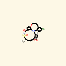 C[C@H]1CC#C[C@H](O)[C@@H]2CC[C@H]2CN2Cc3ccc(Cl)cc3CCCCOc3ccc(cc32)C(=O)/N=[SH](=O)/C1